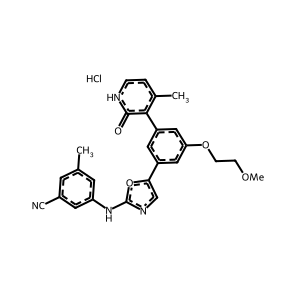 COCCOc1cc(-c2cnc(Nc3cc(C)cc(C#N)c3)o2)cc(-c2c(C)cc[nH]c2=O)c1.Cl